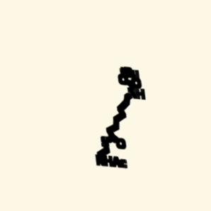 CC(=O)NCCSC(=O)CCCCCCCNC(=O)OC(C)(C)C